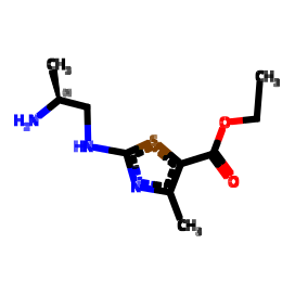 CCOC(=O)c1sc(NC[C@H](C)N)nc1C